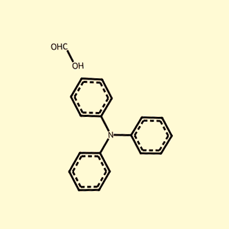 O=CO.c1ccc(N(c2ccccc2)c2ccccc2)cc1